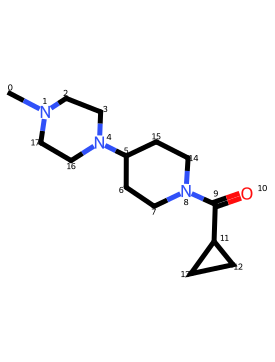 CN1CCN(C2CCN(C(=O)C3CC3)CC2)CC1